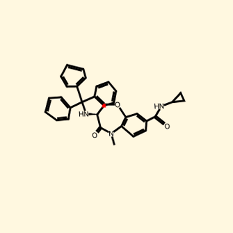 CN1C(=O)[C@@H](NC(c2ccccc2)(c2ccccc2)c2ccccc2)COc2cc(C(=O)NC3CC3)ccc21